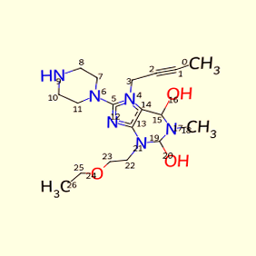 CC#CCn1c(N2CCNCC2)nc2c1C(O)N(C)C(O)N2CCOCC